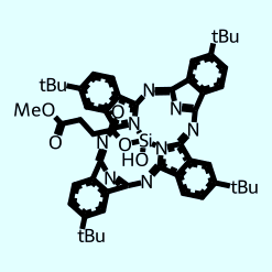 COC(=O)CCC(=O)O[Si]1(O)n2c3c4cc(C(C)(C)C)ccc4c2/N=C2N=C(/N=c4/c5cc(C(C)(C)C)ccc5/c(n41)=N/C1=NC(=N\3)/c3ccc(C(C)(C)C)cc31)c1ccc(C(C)(C)C)cc1\2